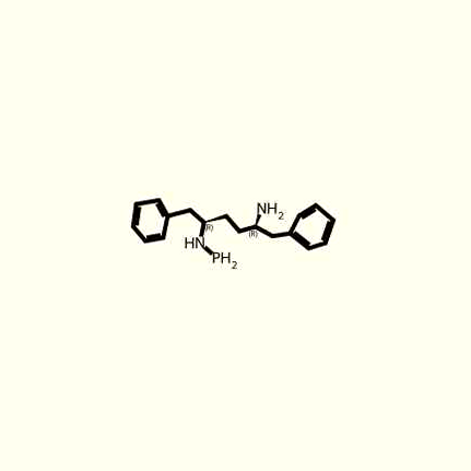 N[C@H](CC[C@H](Cc1ccccc1)NP)Cc1ccccc1